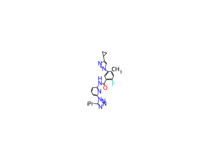 Cc1cc(F)c(C(=O)Nc2cccc(-n3nnnc3C(C)C)n2)cc1-n1cnc(C2CC2)c1